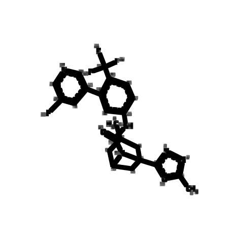 Cc1nnc(C23CC(C)CC(C2)N3C(=O)Nc2ccc(C(F)(F)F)c(-c3cncc(F)c3)c2)o1